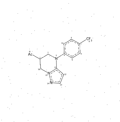 CC(=O)C1CN(c2ccc(C(F)(F)F)cc2)c2ccnn2C1